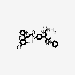 Cc1c(-c2cc(C(N)=O)nc3cc(NC(=O)c4cc(-c5c(F)cc(Cl)cc5F)c5ccccc5n4)ccc23)cnn1-c1ccccc1